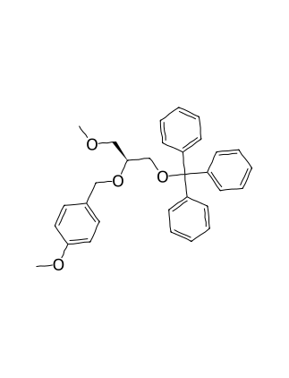 COC[C@@H](COC(c1ccccc1)(c1ccccc1)c1ccccc1)OCc1ccc(OC)cc1